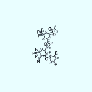 CC(C)S(=O)(=O)c1cc(-c2ccc(-c3cc(C(F)(F)F)c(C#N)c(=O)n3Cc3ccc(F)cc3F)o2)cc(C(F)(F)F)c1